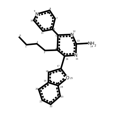 CCCCc1c(-c2ccncc2)nc(N)nc1-c1cc2ccccc2o1